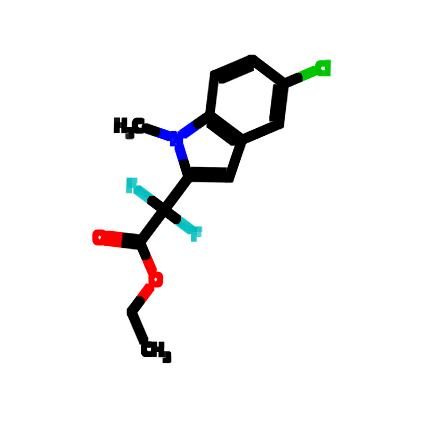 CCOC(=O)C(F)(F)c1cc2cc(Cl)ccc2n1C